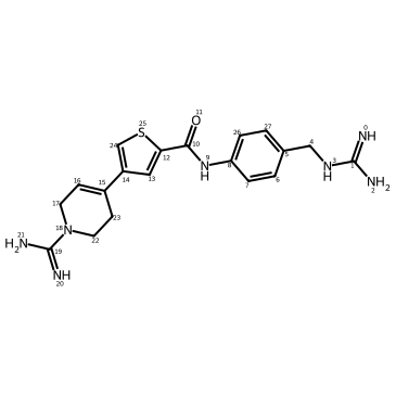 N=C(N)NCc1ccc(NC(=O)c2cc(C3=CCN(C(=N)N)CC3)cs2)cc1